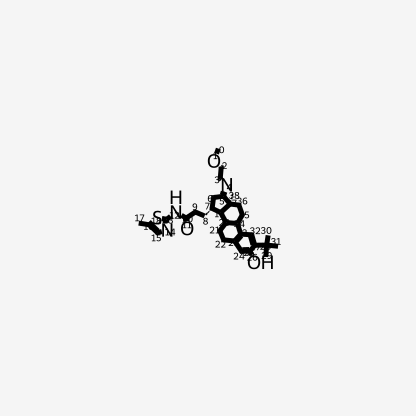 COCC/N=C1\C[C@@H](CCC(=O)Nc2ncc(C)s2)C2C3CCc4cc(O)c(C(C)(C)C)cc4C3CC[C@]12C